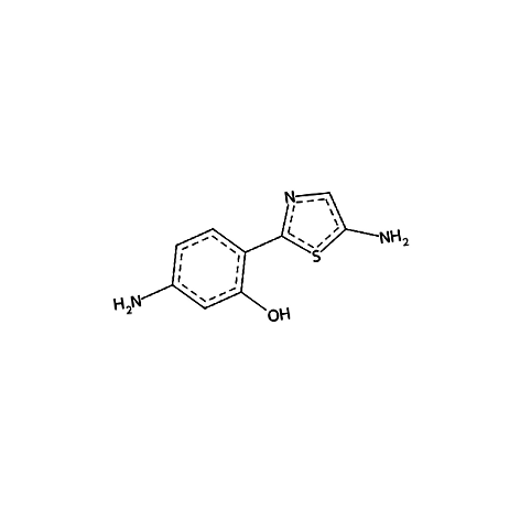 Nc1ccc(-c2ncc(N)s2)c(O)c1